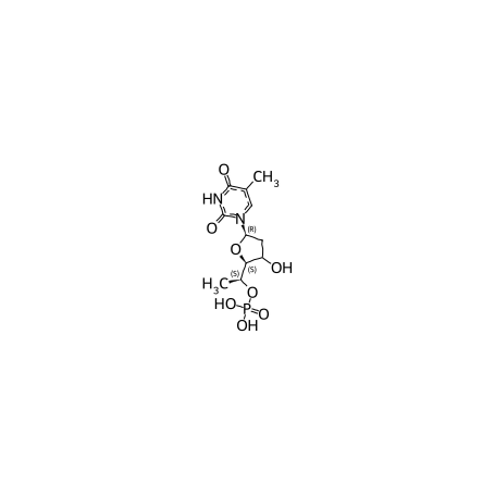 Cc1cn([C@H]2CC(O)[C@@H]([C@H](C)OP(=O)(O)O)O2)c(=O)[nH]c1=O